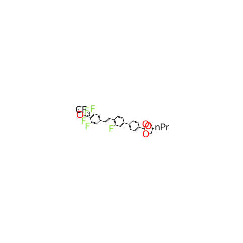 CCCC12COC(c3ccc(-c4ccc(/C=C/c5cc(F)c(C(F)(F)OC(F)(F)F)c(F)c5)c(F)c4)cc3)(OC1)O2